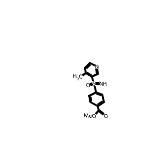 COC(=O)c1ccc(S(=N)(=O)c2cnccc2C)cc1